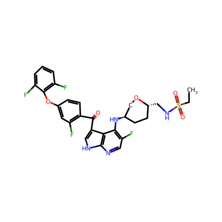 CCS(=O)(=O)NC[C@@H]1CC[C@@H](Nc2c(F)cnc3[nH]cc(C(=O)c4ccc(Oc5c(F)cccc5F)cc4F)c23)CO1